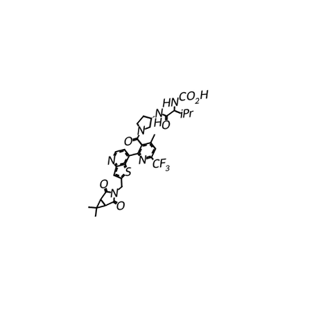 Cc1cc(C(F)(F)F)nc(-c2ccnc3cc(CN4C(=O)C5C(C4=O)C5(C)C)sc23)c1C(=O)N1CC[C@H](NC(=O)C(NC(=O)O)C(C)C)C1